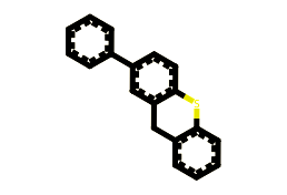 [c]1c(-c2ccccc2)ccc2c1Cc1ccccc1S2